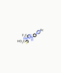 CC(=O)N1CCN(c2ccc(Nc3ncc(C(F)(F)F)c(Nc4ccsc4C(=O)O)n3)cc2)CC1